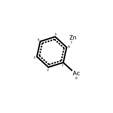 CC(=O)c1ccccc1.[Zn]